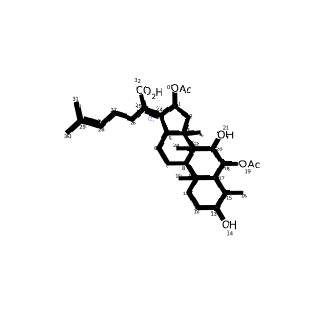 CC(=O)OC1CC2(C)C(CCC3C4(C)CCC(O)C(C)C4C(OC(C)=O)C(O)C32C)/C1=C(\CCC=C(C)C)C(=O)O